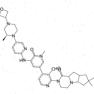 C[C@H]1CN(C2COC2)CCN1c1ccc(Nc2cc(-c3ccnc(N4CCN5C(CC6CC(C)(C)CC65)C4=O)c3C=O)cn(C)c2=O)nc1